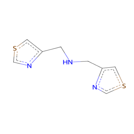 c1nc(CNCc2cscn2)cs1